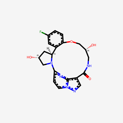 O=C1NC[C@@H](O)COc2ccc(F)cc2[C@@H]2C[C@@H](O)CN2c2ccn3ncc1c3n2